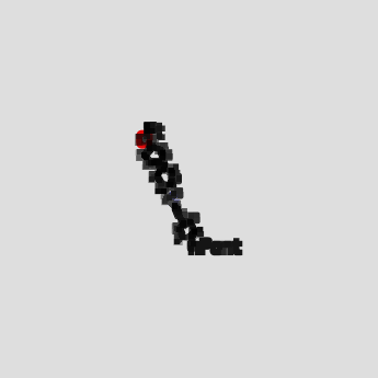 CCCCCc1ccc(C#C/C=C/[C@H]2CC[C@H](c3ccc(OCC)cc3)CC2)cc1